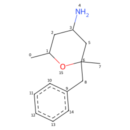 CC1CC(N)CC(C)(Cc2ccccc2)O1